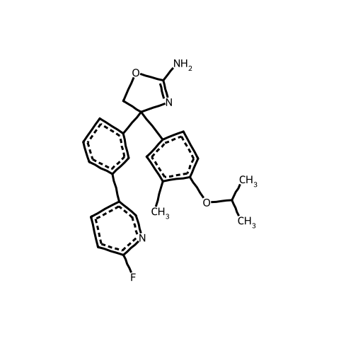 Cc1cc(C2(c3cccc(-c4ccc(F)nc4)c3)COC(N)=N2)ccc1OC(C)C